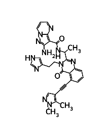 Cc1c(C#Cc2cccc3nc(C(C)NC(=O)c4c(N)nn5cccnc45)n(CCc4c[nH]cn4)c(=O)c23)cnn1C